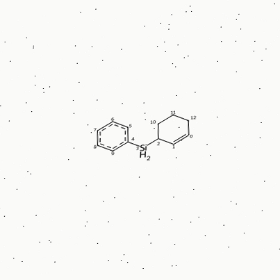 C1=CC([SiH2]c2ccccc2)CCC1